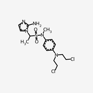 CC(n1ccnc1N)S(=O)(=O)N(C)c1ccc(N(CCCl)CCCl)cc1